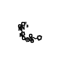 O=S(=O)(CCc1ccccc1)N1CC[C@H](Oc2ccc(-c3noc(C(F)(F)F)n3)cn2)C1